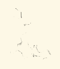 CC(C)(C)c1cc(CCC(=O)OC2CCCCC2)cc(-n2nc3ccccc3n2)c1O